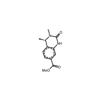 COC(=O)c1ccc2c(c1)NC(=O)N(C)[C@@H]2C